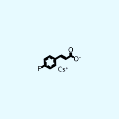 O=C([O-])C=Cc1ccc(F)cc1.[Cs+]